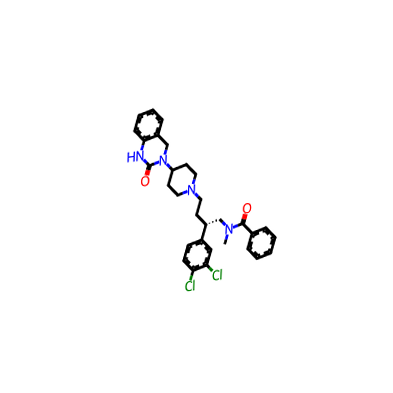 CN(C[C@@H](CCN1CCC(N2Cc3ccccc3NC2=O)CC1)c1ccc(Cl)c(Cl)c1)C(=O)c1ccccc1